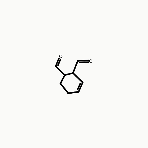 O=CC1C=CCCC1C=O